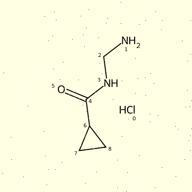 Cl.NCNC(=O)C1CC1